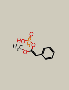 COC(=Cc1ccccc1)O[PH](=O)O